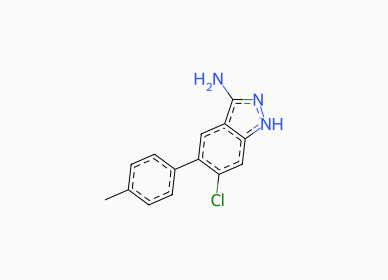 Cc1ccc(-c2cc3c(N)n[nH]c3cc2Cl)cc1